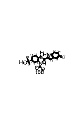 CC(C)(C)OC(=O)N[C@@H]1C[C@@H](C(C)(C)O)CC[C@@H]1NC(=O)c1cc2cc(Cl)ccc2[nH]1